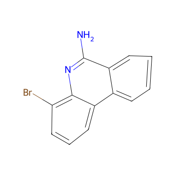 Nc1nc2c(Br)cccc2c2ccccc12